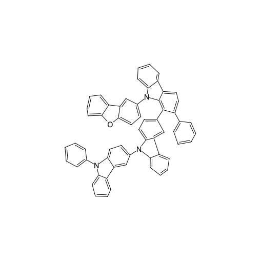 c1ccc(-c2ccc3c4ccccc4n(-c4ccc5oc6ccccc6c5c4)c3c2-c2ccc3c(c2)c2ccccc2n3-c2ccc3c(c2)c2ccccc2n3-c2ccccc2)cc1